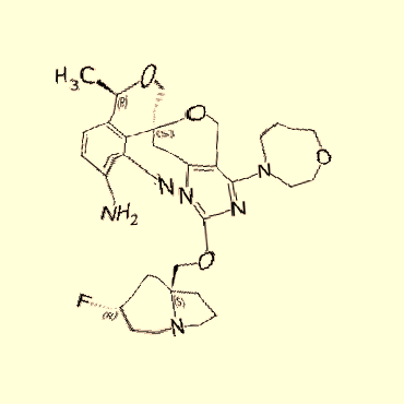 C[C@H]1OC[C@]2(Cc3nc(OC[C@@]45CCCN4C[C@H](F)C5)nc(N4CCCOCC4)c3CO2)c2c1ccc(N)c2C#N